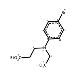 CCOC(=O)CCN(CC(=O)O)c1ccc(Br)cc1